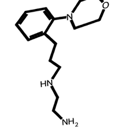 NCCNCCCc1ccccc1N1CCOCC1